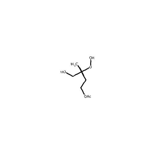 CC(=O)OCCC(C)(CO)OO